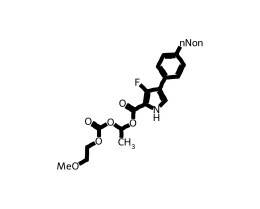 CCCCCCCCCc1ccc(-c2c[nH]c(C(=O)OC(C)OC(=O)OCCOC)c2F)cc1